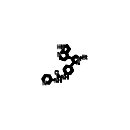 CCn1cc(-c2ccnc3[nH]ccc23)c(-c2ccc(NC(=O)Nc3cccnc3)cc2)n1